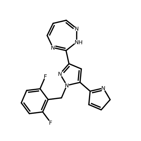 Fc1cccc(F)c1Cn1nc(C2=NC=CC=NN2)cc1C1=NCC=C1